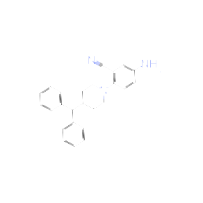 N#Cc1cc(N)ccc1N1CCC(C(c2ccccc2)c2ccccc2)CC1